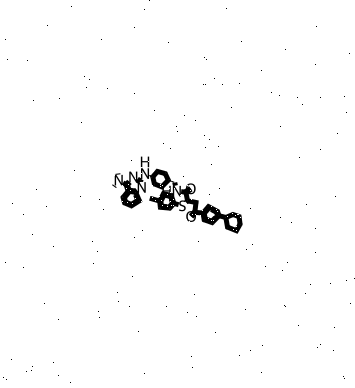 Cc1ccc(SC(CC(=O)c2ccc(C3CCCCC3)cc2)C(=O)NC[C@H]2CC[C@@H](Nc3nc(N(C)C)c4ccccc4n3)CC2)cc1